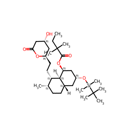 CCC(C)(C)C(=O)O[C@H]1C[C@H](O[Si](C)(C)C(C)(C)C)C[C@@H]2CC[C@H](C)[C@H](CC[C@@H]3C[C@@H](O)CC(=O)O3)[C@H]21